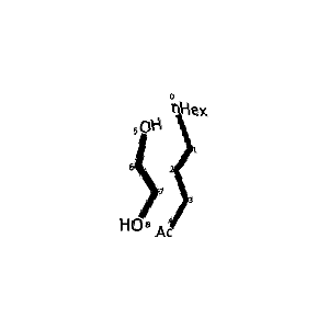 CCCCCCCCCC(C)=O.OCCO